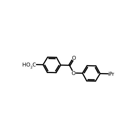 CC(C)c1ccc(OC(=O)c2ccc(C(=O)O)cc2)cc1